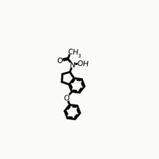 CC(=O)N(O)C1CCc2c(Oc3ccccc3)cccc21